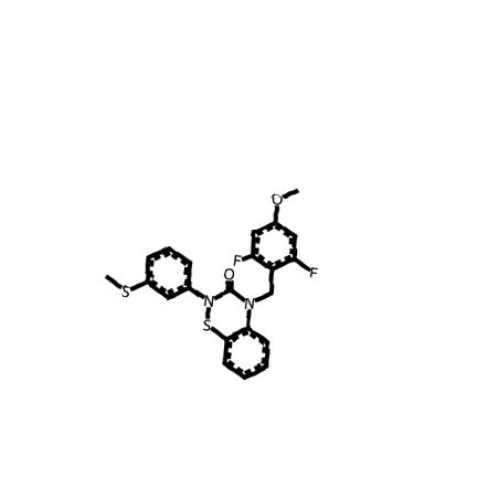 COc1cc(F)c(CN2C(=O)N(c3cccc(SC)c3)Sc3ccccc32)c(F)c1